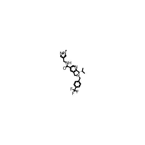 CC(C)[C@H]1c2ncc(C(=O)NCc3cnn(C)c3)cc2CN1Cc1ccc(C(F)(F)F)cc1